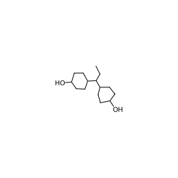 CCC(C1CCC(O)CC1)C1CCC(O)CC1